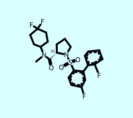 CN(C(=O)[C@@H]1CCCN1S(=O)(=O)c1ccc(F)cc1-c1ccccc1F)C1CCC(F)(F)CC1